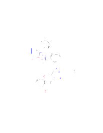 CCCC1N=C(CC)C(Oc2ccc3c(c2)OCO3)=CN1Cc1ccc(-c2ccccc2-c2noc(=O)[nH]2)cc1